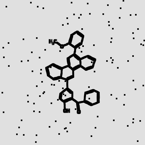 COc1ccccc1-c1cc2c3ccccc3c(-c3ccc(O)c(C(=O)c4ccccc4)c3)cc2c2ccccc12